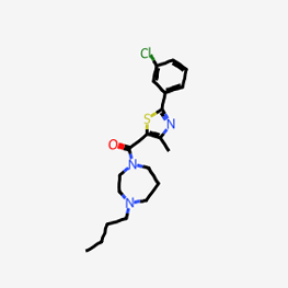 CCCCN1CCCN(C(=O)c2sc(-c3cccc(Cl)c3)nc2C)CC1